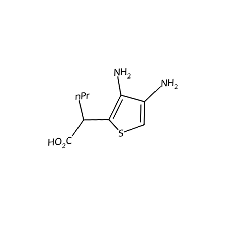 CCCC(C(=O)O)c1scc(N)c1N